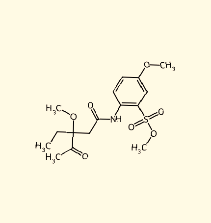 CCC(CC(=O)Nc1ccc(OC)cc1S(=O)(=O)OC)(OC)C(C)=O